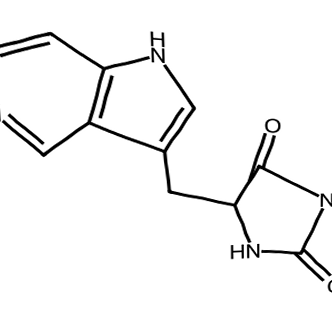 O=C1NC(=O)C(Cc2c[nH]c3ccncc23)N1